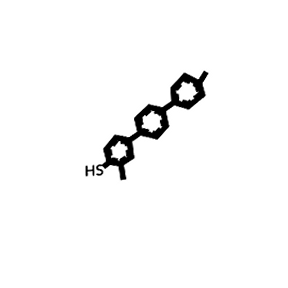 Cc1ccc(-c2ccc(-c3ccc(S)c(C)c3)cc2)cc1